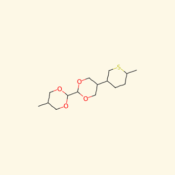 CC1COC(C2OCC(C3CCC(C)SC3)CO2)OC1